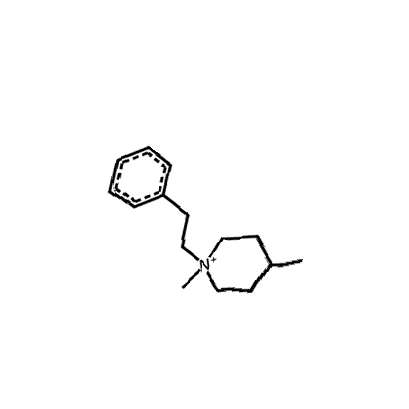 CC1CC[N+](C)(CCc2ccccc2)CC1